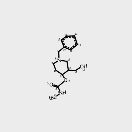 CC(C)(C)NC(=O)OC1CCN(Cc2ccccc2)CC1CO